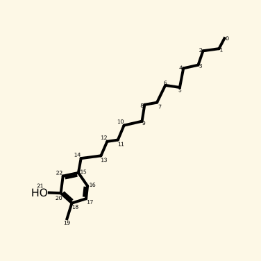 CCCCCCCCCCCCCCCc1ccc(C)c(O)c1